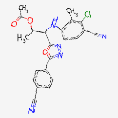 CC(=O)OC(C)C(Nc1ccc(C#N)c(Cl)c1C)c1nnc(-c2ccc(C#N)cc2)o1